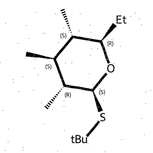 CC[C@H]1O[C@@H](SC(C)(C)C)[C@H](C)[C@@H](C)[C@@H]1C